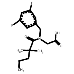 CCCC(C)(C)C(=O)N(CC(=O)O)Cc1cc(F)cc(F)c1